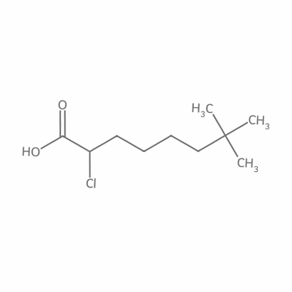 CC(C)(C)CCCCC(Cl)C(=O)O